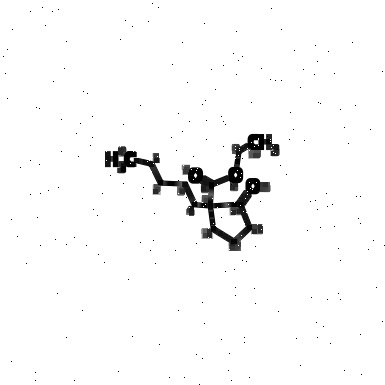 CCCCCC1(C(=O)OCC)CCCC1=O